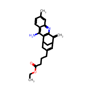 C=C1c2nc3cc(C)ccc3c(N)c2C2CC(CCCC(=O)OCC)=CC1C2